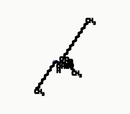 CCCCCCCCCCCCC/C=C\C(O)C(COP(=O)(O)OCCC)OC(=O)CCCCCCCCCCCCCCCCC